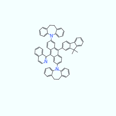 CC1(C)c2ccccc2-c2ccc(-c3c4cc(N5c6ccccc6CCc6ccccc65)ccc4c(-c4nccc5ccccc45)c4cc(N5c6ccccc6CCc6ccccc65)ccc34)cc21